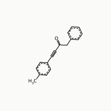 Cc1ccc(C#CC(=O)Cc2ccccc2)cc1